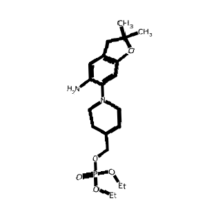 CCOP(=O)(OCC)OCC1CCN(c2cc3c(cc2N)CC(C)(C)O3)CC1